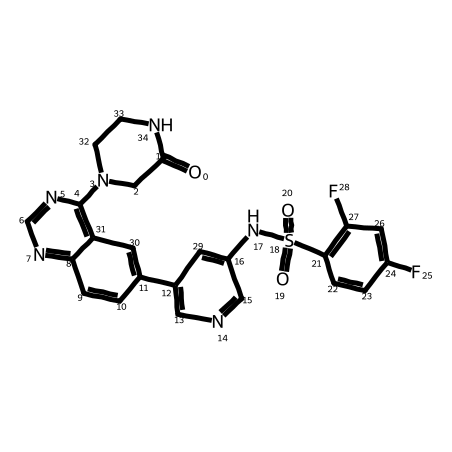 O=C1CN(c2ncnc3ccc(-c4cncc(NS(=O)(=O)c5ccc(F)cc5F)c4)cc23)CCN1